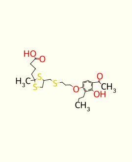 CCCc1c(OCCCSCC2CSC(C)(CCCC(=O)O)S2)ccc(C(C)=O)c1O